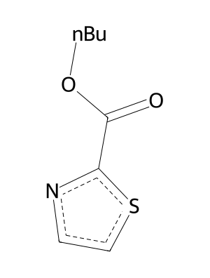 CCCCOC(=O)c1nccs1